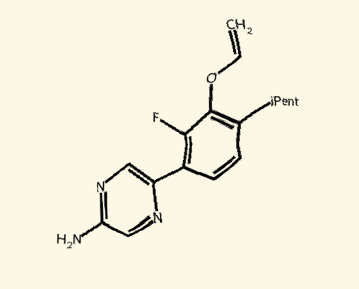 C=COc1c(C(C)CCC)ccc(-c2cnc(N)cn2)c1F